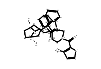 Cc1ccsc1C(=O)N1CCC(CCN2[C@@H]3CC[C@H]2CC(n2c(C)nc4ccccc42)C3)(c2ccccc2)CC1